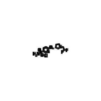 NS(=O)(=O)c1ccc(OC[C@@H]2CCN(CC(F)F)C2)nc1Cl